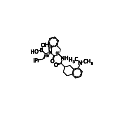 CC(C)C[C@H](NC(=O)[C@H](Cc1ccccc1)NC(=O)C1CCc2cccc(N(C)C)c2C1)B(O)O